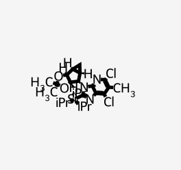 Cc1c(Cl)nc2c(nc([Si](C(C)C)(C(C)C)C(C)C)n2[C@@H]2[C@H]3C[C@H]3[C@H]3OC(C)(C)O[C@H]32)c1Cl